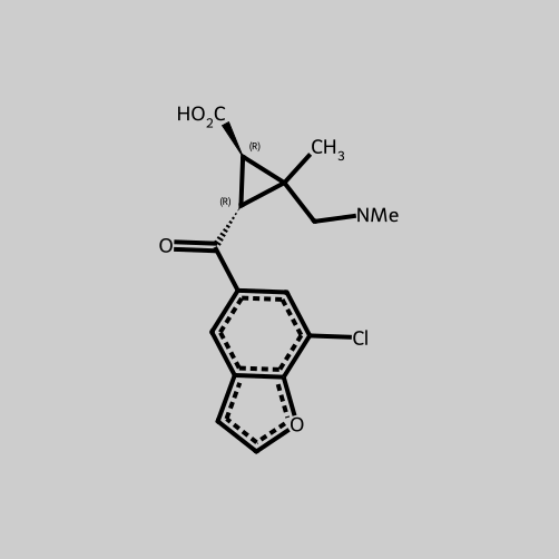 CNCC1(C)[C@H](C(=O)O)[C@H]1C(=O)c1cc(Cl)c2occc2c1